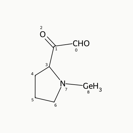 O=CC(=O)C1CCC[N]1[GeH3]